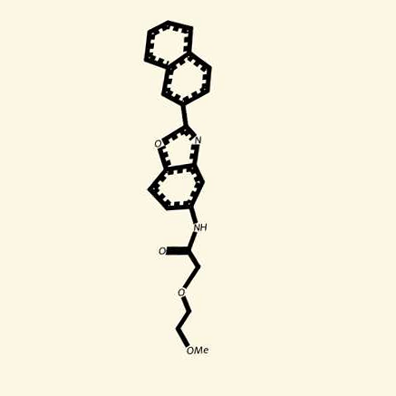 COCCOCC(=O)Nc1ccc2oc(-c3ccc4ccccc4c3)nc2c1